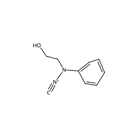 [C-]#[N+]N(CCO)c1ccccc1